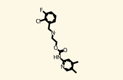 Cc1cnc(NC(=O)OCC[N]Cc2cccc(F)c2Cl)cc1C